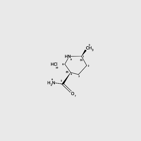 C[C@H]1CC[C@@H](C(N)=O)CN1.Cl